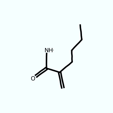 C=C(CCCC)C([NH])=O